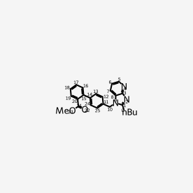 CCCCc1nc2ncccc2n1Cc1ccc(-c2ccccc2C(=O)OC)cc1